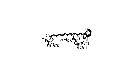 CCCCCCCCC(CC)OC(=O)CCCCCCCN(CCCn1cnc2cccnc21)C(CCCCCC)C(=O)OC(CCCCCCCC)CCCCCCCC